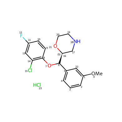 COc1cccc(C(Oc2ccc(F)cc2Cl)[C@@H]2CNCCO2)c1.Cl